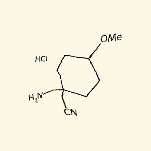 COC1CCC(N)(C#N)CC1.Cl